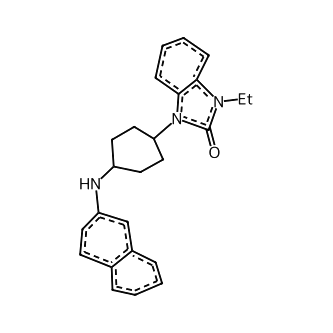 CCn1c(=O)n(C2CCC(Nc3ccc4ccccc4c3)CC2)c2ccccc21